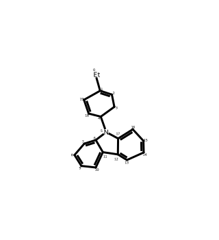 CCC1=CCC(n2c3ccccc3c3ccccc32)C=C1